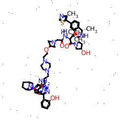 Cc1ncsc1-c1ccc([C@H](C)NC(=O)[C@@H]2C[C@@H](O)CN2C(=O)[C@@H](NC(=O)CN2CC(OCCN3CCN(CCCc4cc(N5C6CCC5CN(c5cc(-c7ccccc7O)nnc5N)C6)ccn4)CC3)C2)C(C)(C)C)cc1